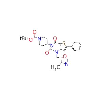 Cc1ncoc1Cn1c(=O)n(C2CCN(C(=O)OC(C)(C)C)CC2)c(=O)c2sc(-c3ccccc3)cc21